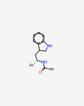 CC(=O)[C@H](CC1CNc2ccccc21)NC(=O)C(C)C